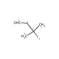 CC(C)(I)CC=O